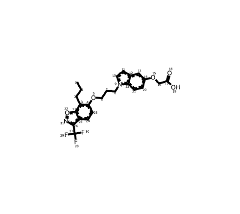 CCCc1c(OCCCn2ccc3cc(OCC(=O)O)ccc32)ccc2c(C(F)(F)F)noc12